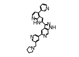 c1cncc(-c2ccnc3[nH]c(-c4n[nH]c5cnc(-c6cncc(CN7CCCC7)c6)cc45)cc23)c1